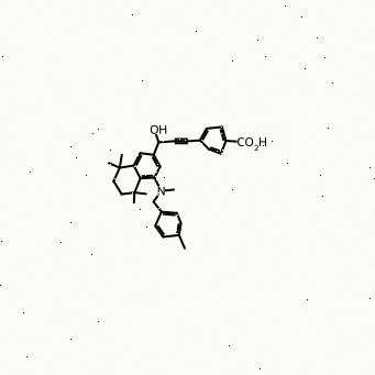 Cc1ccc(CN(C)c2cc(C(O)C#Cc3ccc(C(=O)O)cc3)cc3c2C(C)(C)CCC3(C)C)cc1